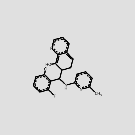 Cc1cccc(NC(c2c(F)cccc2Cl)C2CC=c3cccnc3=C2O)n1